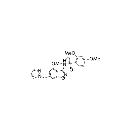 COc1ccc(S(=O)(=O)Nc2noc3cc(Cn4cccn4)cc(OC)c23)c(OC)c1